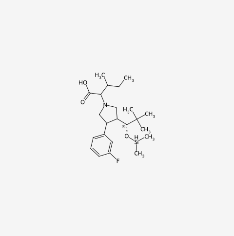 CCC(C)C(C(=O)O)N1CC(c2cccc(F)c2)C([C@@H](O[SiH](C)C)C(C)(C)C)C1